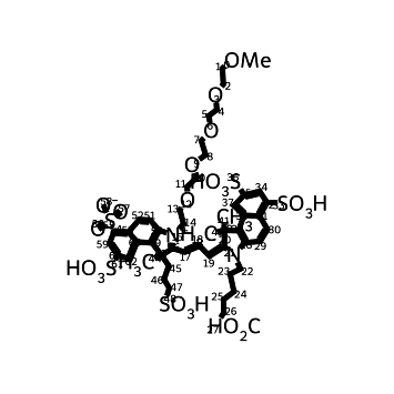 COCCOCCOCCOCCOCC[N+]1=C(/C=C/C=C2/N(CCCCCC(=O)O)c3ccc4c(S(=O)(=O)O)cc(S(=O)(=O)O)cc4c3C2(C)C)C(C)(CCCS(=O)(=O)O)c2c1ccc1c(S(=O)(=O)[O-])cc(S(=O)(=O)O)cc21